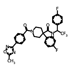 Cc1nc(-c2ccc(C(=O)N3CCC(C(=O)NC(c4ccc(F)cc4)C(F)(F)F)(c4ccc(F)cc4)CC3)cc2)no1